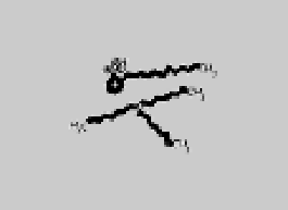 CCCCCCCCCCCCc1ccccc1S(=O)(=O)O.CCCCCCCCN(CCCCCCCC)CCCCCCCC